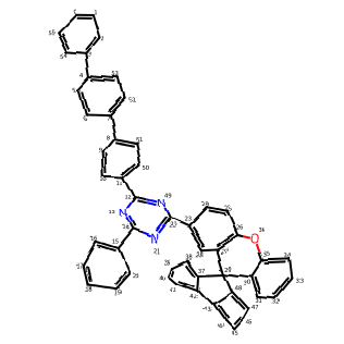 c1ccc(-c2ccc(-c3ccc(-c4nc(-c5ccccc5)nc(-c5ccc6c(c5)C5(c7ccccc7O6)c6ccccc6-c6ccccc65)n4)cc3)cc2)cc1